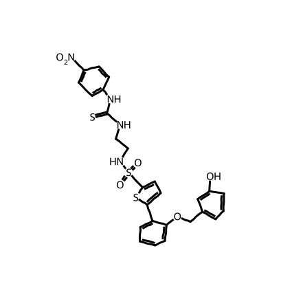 O=[N+]([O-])c1ccc(NC(=S)NCCNS(=O)(=O)c2ccc(-c3ccccc3OCc3cccc(O)c3)s2)cc1